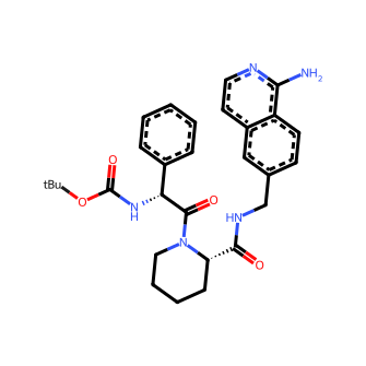 CC(C)(C)OC(=O)N[C@@H](C(=O)N1CCCC[C@H]1C(=O)NCc1ccc2c(N)nccc2c1)c1ccccc1